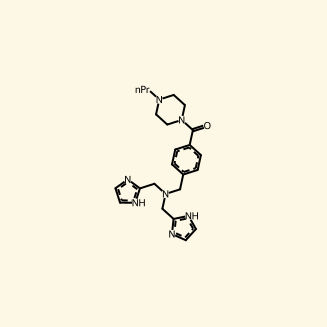 CCCN1CCN(C(=O)c2ccc(CN(Cc3ncc[nH]3)Cc3ncc[nH]3)cc2)CC1